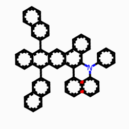 c1ccc(-c2c(N(c3ccccc3)c3ccccc3)c3ccccc3c3cc4c(-c5ccc6ccccc6c5)c5ccccc5c(-c5ccc6ccccc6c5)c4cc23)cc1